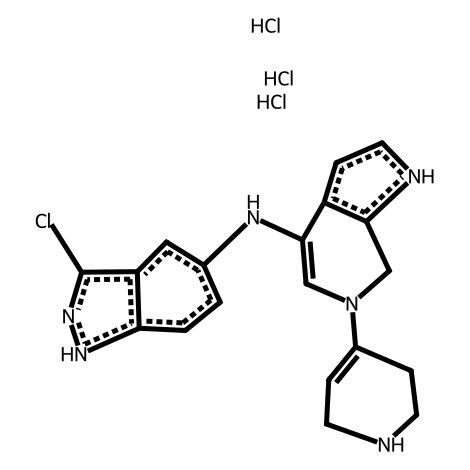 Cl.Cl.Cl.Clc1n[nH]c2ccc(NC3=CN(C4=CCNCC4)Cc4[nH]ccc43)cc12